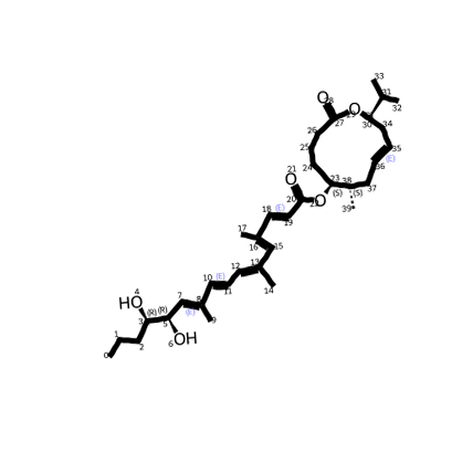 CCC[C@@H](O)[C@H](O)/C=C(C)/C=C/C=C(C)C=C(C)/C=C/C(=O)O[C@H]1CCCC(=O)O[C@@H](C(C)C)C/C=C/C[C@@H]1C